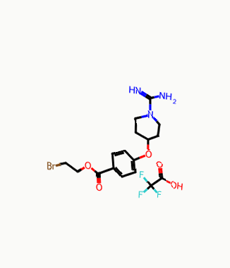 N=C(N)N1CCC(Oc2ccc(C(=O)OCCBr)cc2)CC1.O=C(O)C(F)(F)F